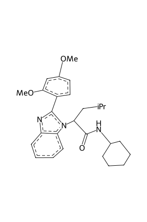 COc1ccc(-c2nc3ccccc3n2C(CC(C)C)C(=O)NC2CCCCC2)c(OC)c1